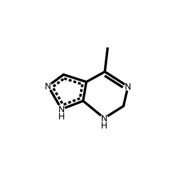 CC1=NCNc2[nH]ncc21